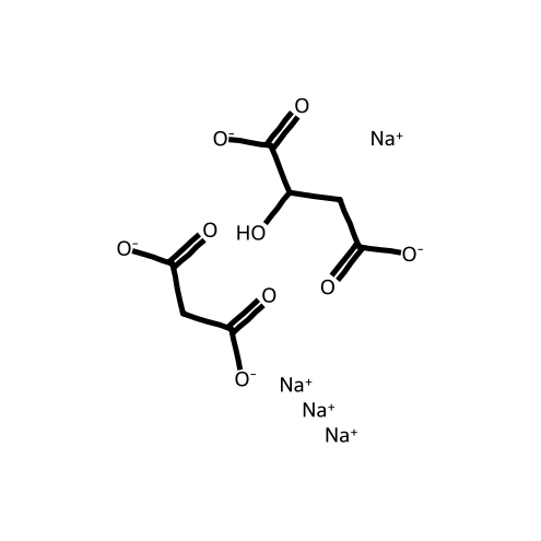 O=C([O-])CC(=O)[O-].O=C([O-])CC(O)C(=O)[O-].[Na+].[Na+].[Na+].[Na+]